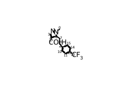 Cn1ncc(C(=O)O)c1CCc1ccc(C(F)(F)F)cc1